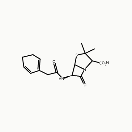 CC1(C)SC2[C@H](NC(=O)CC3=CCCC=C3)C(=O)N2C1C(=O)O